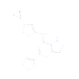 c1coc(-c2nc(Nc3cnn(C4CC4)c3)c3[nH]ncc3n2)c1